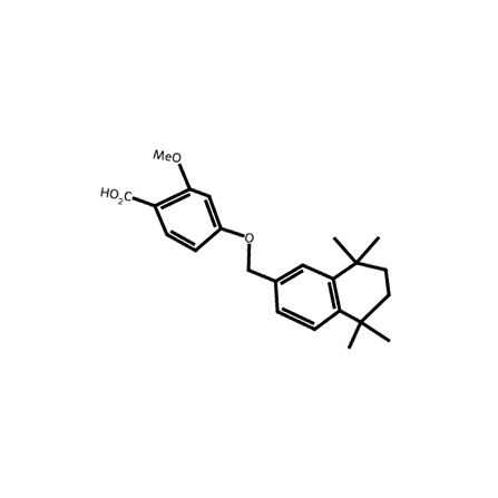 COc1cc(OCc2ccc3c(c2)C(C)(C)CCC3(C)C)ccc1C(=O)O